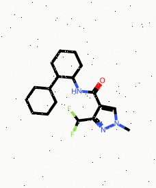 Cn1cc(C(=O)NC2CCCCC2C2CCCCC2)c(C(F)F)n1